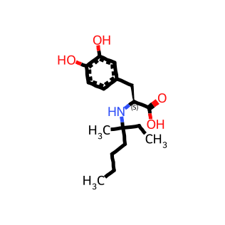 CCCCC(C)(CC)N[C@@H](Cc1ccc(O)c(O)c1)C(=O)O